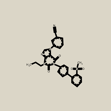 CCCn1c(=O)n(-c2ccc(-c3ccccc3S(C)(=O)=O)cc2)c(=O)c2c1ncn2-c1cccc(C#N)c1